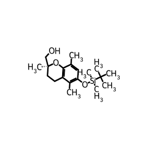 Cc1cc(O[Si](C)(C)C(C)(C)C)c(C)c2c1O[C@](C)(CO)CC2